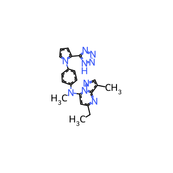 CCc1cc(N(C)c2ccc(-n3cccc3-c3nnn[nH]3)cc2)n2ncc(C)c2n1